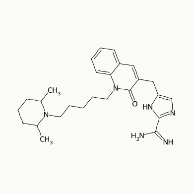 CC1CCCC(C)N1CCCCCn1c(=O)c(Cc2cnc(C(=N)N)[nH]2)cc2ccccc21